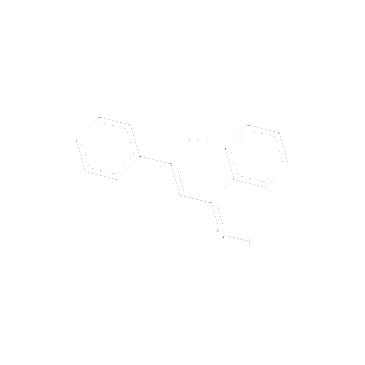 CC/N=C(/C=C(\O)c1ccccc1)c1ccccc1